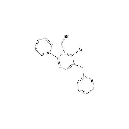 Brc1c(Cc2ccccc2)ccc2c1C(Br)c1ccccc1-2